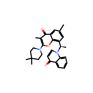 Cc1cc([C@@H](C)n2ccc(=O)c3ccccc32)c2oc(N3CCC(C)(C)CC3)c(C)c(=O)c2c1